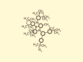 Cc1cc2c3c(c1)N(c1ccc4c(c1)C(C)(C)CCC4(C)C)c1cc4c(cc1B3c1cc(C(C)(C)C)ccc1N2c1cc(-c2ccc(C(C)(C)C)cc2)cc(-c2ccc(C(C)(C)C)cc2)c1)C(C)(C)CCC4(C)C